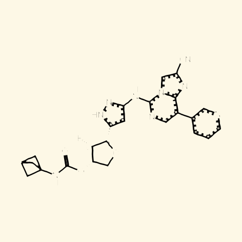 N#Cc1cn2c(Nc3cc([C@@H]4OC[C@H](OC(=O)NC56CC(C5)C6)[C@@H]4F)[nH]n3)ncc(-c3cccnc3)c2n1